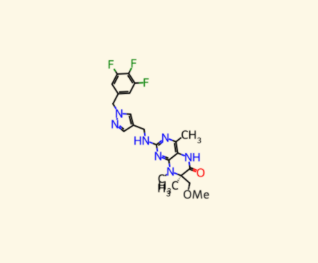 COC[C@]1(C)C(=O)Nc2c(C)nc(NCc3cnn(Cc4cc(F)c(F)c(F)c4)c3)nc2N1C